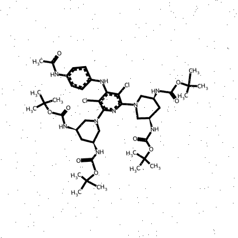 CC(=O)Nc1ccc(Nc2c(Cl)c(N3C[C@H](NC(=O)OC(C)(C)C)C[C@H](NC(=O)OC(C)(C)C)C3)nc(N3C[C@H](NC(=O)OC(C)(C)C)C[C@H](NC(=O)OC(C)(C)C)C3)c2Cl)cc1